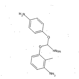 CCCCCCCCCC(Oc1ccc(N)cc1)Oc1cccc(N)c1C